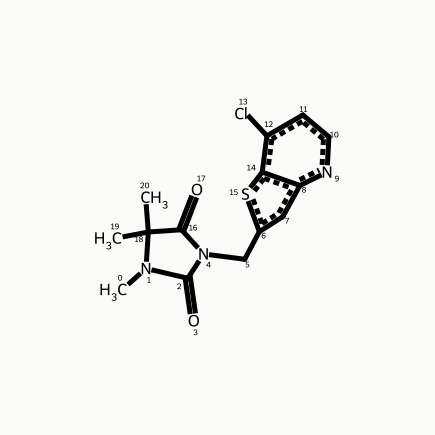 CN1C(=O)N(Cc2cc3nccc(Cl)c3s2)C(=O)C1(C)C